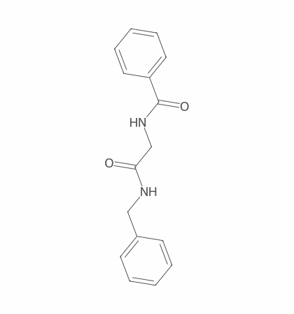 O=C(CNC(=O)c1ccccc1)NCc1ccccc1